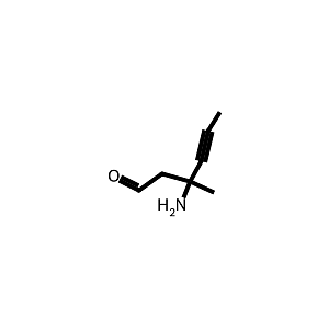 CC#CC(C)(N)CC=O